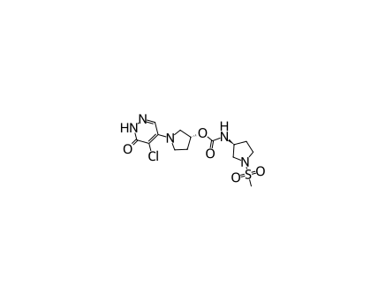 CS(=O)(=O)N1CC[C@H](NC(=O)O[C@@H]2CCN(c3cn[nH]c(=O)c3Cl)C2)C1